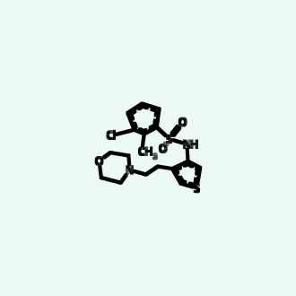 Cc1c(Cl)cccc1S(=O)(=O)Nc1cscc1CCN1CCOCC1